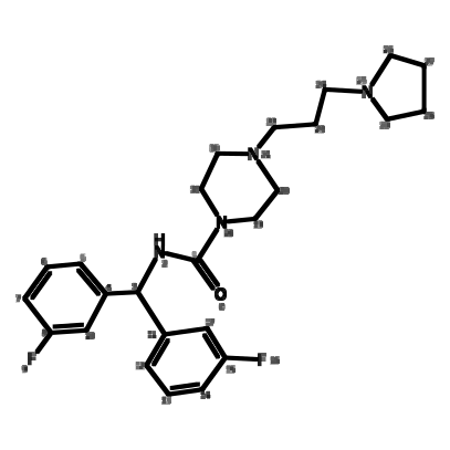 O=C(NC(c1cccc(F)c1)c1cccc(F)c1)N1CCN(CCCN2CCCC2)CC1